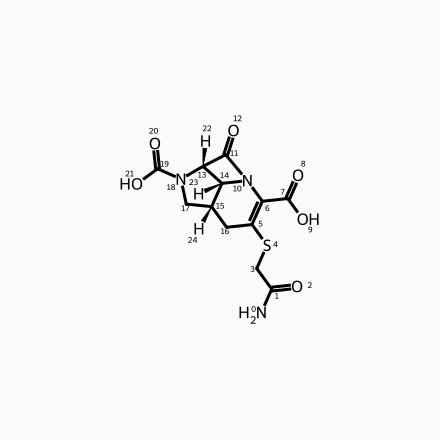 NC(=O)CSC1=C(C(=O)O)N2C(=O)[C@@H]3[C@H]2[C@H](C1)CN3C(=O)O